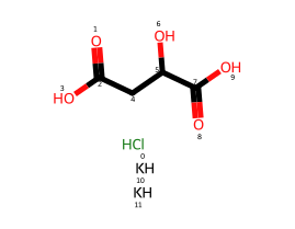 Cl.O=C(O)CC(O)C(=O)O.[KH].[KH]